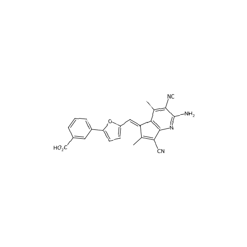 [C-]#[N+]c1c(N)nc2c(c1C)/C(=C/c1ccc(-c3cccc(C(=O)O)c3)o1)C(C)=C2C#N